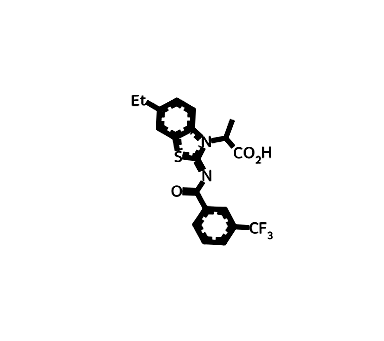 CCc1ccc2c(c1)sc(=NC(=O)c1cccc(C(F)(F)F)c1)n2C(C)C(=O)O